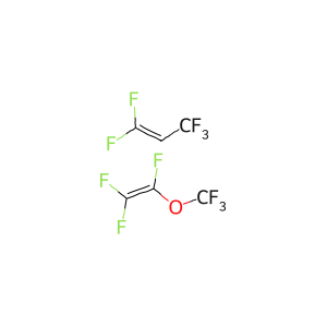 FC(F)=C(F)OC(F)(F)F.FC(F)=CC(F)(F)F